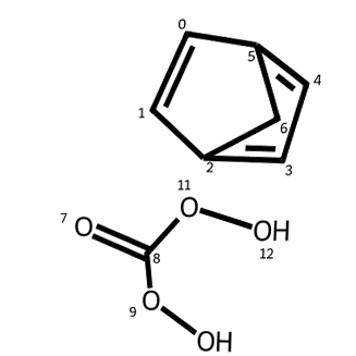 C1=CC2=CC=C1C2.O=C(OO)OO